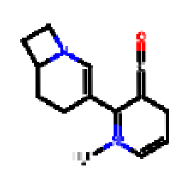 C[N+]1=C(C2=CN3CCC3CC2)C(=C=O)CC=C1